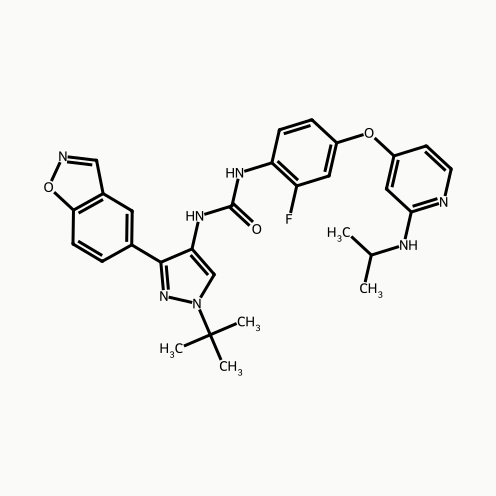 CC(C)Nc1cc(Oc2ccc(NC(=O)Nc3cn(C(C)(C)C)nc3-c3ccc4oncc4c3)c(F)c2)ccn1